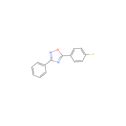 Fc1ccc(-c2nc(-c3ccccc3)no2)cc1